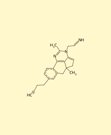 C#CCCc1ccc2c(c1)CC1(C)CC=C3C1=C2N=C(C)N3CC=N